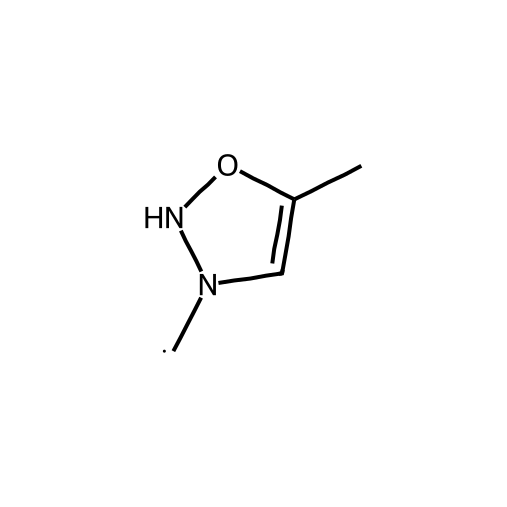 [CH2]N1C=C(C)ON1